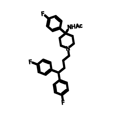 CC(=O)NC1(c2ccc(F)cc2)CCN(CCCC(c2ccc(F)cc2)c2ccc(F)cc2)CC1